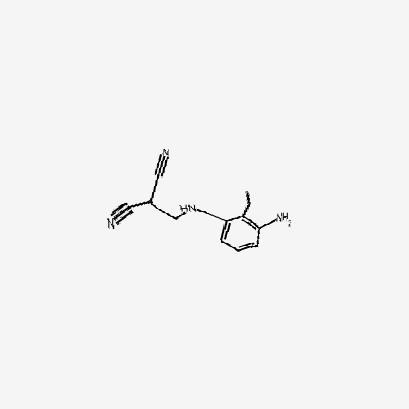 Cc1c(N)cccc1NCC(C#N)C#N